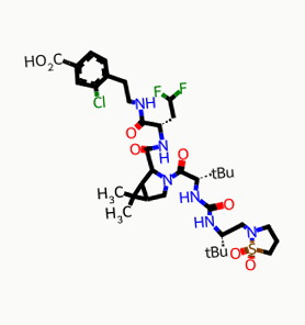 CC1(C)C2CN(C(=O)[C@@H](NC(=O)N[C@H](CN3CCCS3(=O)=O)C(C)(C)C)C(C)(C)C)C(C(=O)N[C@@H](CC(F)F)C(=O)NCCc3ccc(C(=O)O)cc3Cl)C21